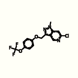 Cn1nc(COc2ccc(OC(F)(F)F)cc2)c2cnc(Cl)cc21